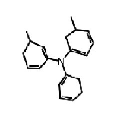 CC1C=C(N(C2=CC=CCC2)C2=CC=CC(C)C2)C=CC1